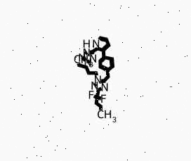 CCCCCn1nc(C(F)(F)CCC)nc1Cc1ccc(-c2cccnc2-c2nnn[nH]2)cc1